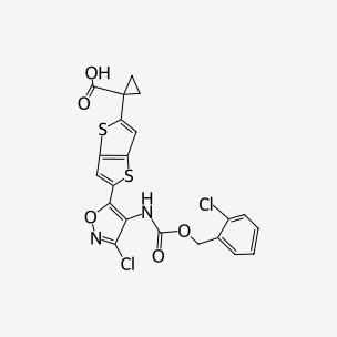 O=C(Nc1c(Cl)noc1-c1cc2sc(C3(C(=O)O)CC3)cc2s1)OCc1ccccc1Cl